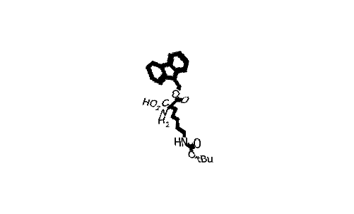 CC(C)(C)OC(=O)NCCCCC[C@](N)(C(=O)O)C(=O)OCC1c2ccccc2-c2ccccc21